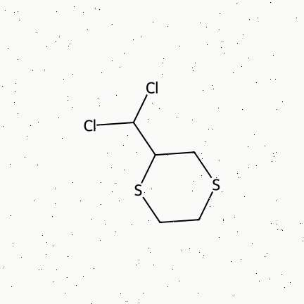 ClC(Cl)C1CSCCS1